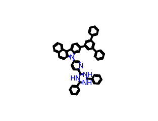 c1ccc(-c2cc(-c3ccccc3)cc(-c3ccc4c5c6ccccc6ccc5n(-c5ccc(C6NC(c7ccccc7)NC(c7ccccc7)N6)nc5)c4c3)c2)cc1